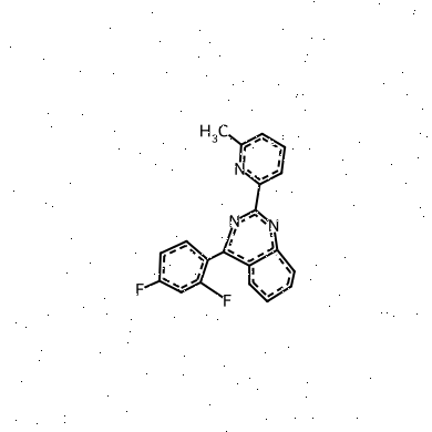 Cc1cccc(-c2nc(-c3ccc(F)cc3F)c3ccccc3n2)n1